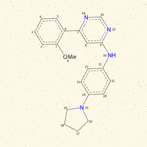 COc1ccccc1-c1cc(Nc2ccc(N3CCCC3)cc2)ncn1